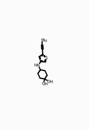 CC(C)(C)C#Cc1cc(NC2CCC(O)(O)CC2)cs1